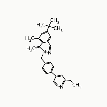 C=C1c2c(C)cc(C(C)(C)C)cc2C=NN1Cc1ccc(-c2ccnc(CC)c2)cc1